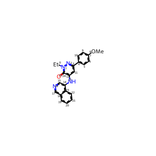 CCn1nc(-c2ccc(OC)cc2)cc(Nc2cncc3ccccc23)c1=O